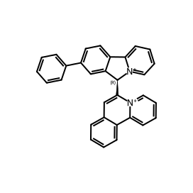 c1ccc(-c2ccc3c(c2)[C@H](c2cc4ccccc4c4cccc[n+]24)[n+]2ccccc2-3)cc1